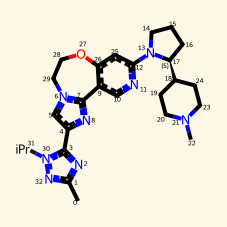 Cc1nc(-c2cn3c(n2)-c2cnc(N4CCC[C@H]4C4CCN(C)CC4)cc2OCC3)n(C(C)C)n1